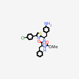 COC(=O)NC(Cc1ccccc1)C(=O)NC(Cc1ccc(N)cc1)c1nc(-c2ccc(Cl)cc2)cs1